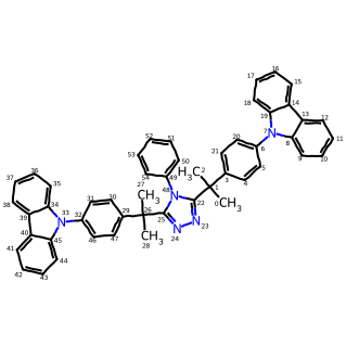 CC(C)(c1ccc(-n2c3ccccc3c3ccccc32)cc1)c1nnc(C(C)(C)c2ccc(-n3c4ccccc4c4ccccc43)cc2)n1-c1ccccc1